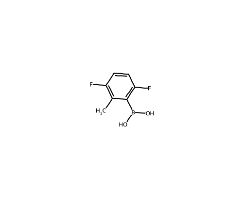 Cc1c(F)ccc(F)c1B(O)O